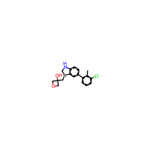 Cc1c(Cl)cccc1-c1ccc2c(c1)B(CC1(O)COC1)CN2